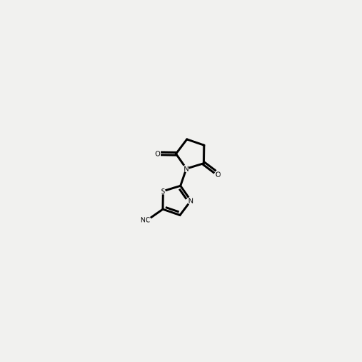 N#Cc1cnc(N2C(=O)CCC2=O)s1